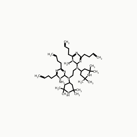 C=CCCC1=NC(N(CCN(C2CC(C)(C)NC(C)(C)C2)C2N=C(CCC=C)N=C(CCC=C)N2N)C2CC(C)(C)NC(C)(C)C2)N(N)C(CCC=C)=N1